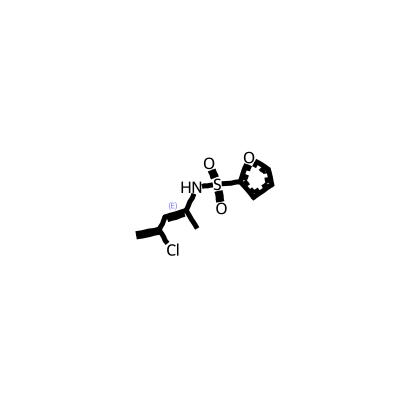 C=C(Cl)/C=C(\C)NS(=O)(=O)c1ccco1